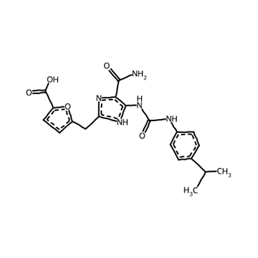 CC(C)c1ccc(NC(=O)Nc2[nH]c(Cc3ccc(C(=O)O)o3)nc2C(N)=O)cc1